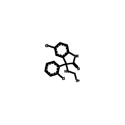 CC(C)CNC1(c2ccccc2Cl)C(=O)Nc2ccc(Cl)cc21